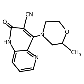 CC1CN(c2c(C#N)c(=O)[nH]c3cccnc23)CCO1